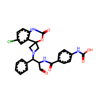 O=CC(NC(=O)c1ccc(NC(=O)O)cc1)C(c1ccccc1)N1CC2(C1)OC(=O)Nc1ccc(Cl)cc12